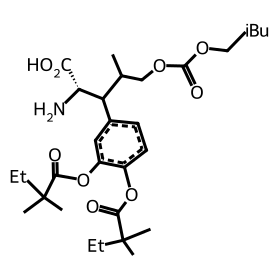 CCC(C)COC(=O)OCC(C)C(c1ccc(OC(=O)C(C)(C)CC)c(OC(=O)C(C)(C)CC)c1)[C@H](N)C(=O)O